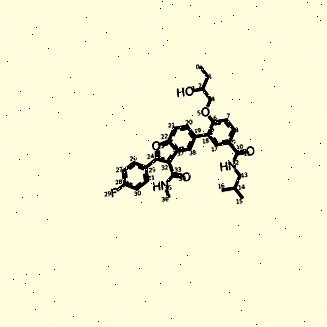 CCC(O)COc1ccc(C(=O)NCC(C)C)cc1-c1ccc2oc(-c3ccc(F)cc3)c(C(=O)NC)c2c1